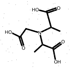 CC(C(=O)O)N(CC(=O)O)C(C)C(=O)O